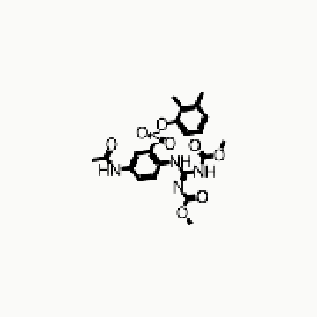 COC(=O)N=C(NC(=O)OC)Nc1ccc(NC(C)=O)cc1S(=O)(=O)Oc1cccc(C)c1C